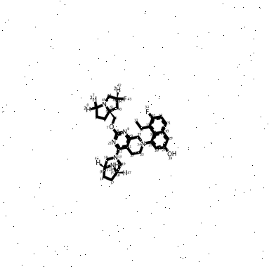 [2H]C1([2H])CC[C@@]2(COc3nc4c(c(N5C[C@H]6CC[C@@H](C5)N6)n3)CCN(c3cc(O)cc5ccc(F)c(CC)c35)C4)C[C@@]([2H])(F)CN12